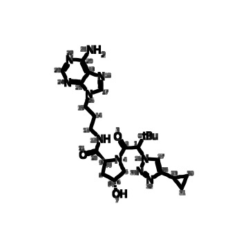 CC(C)(C)C(C(=O)N1C[C@H](O)C[C@H]1C(=O)NCCCn1cnc2c(N)ncnc21)n1cc(C2CC2)nn1